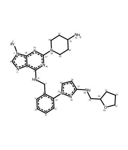 CC(C)n1cnc2c(NCc3ccccc3-n3ccc(NCC4CCCO4)n3)nc(N3CCC(N)CC3)nc21